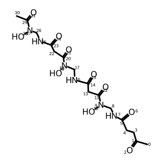 CC(=O)CCC(=O)NCN(O)C(=O)CC(=O)NCN(O)C(=O)CC(=O)NCN(O)C(C)=O